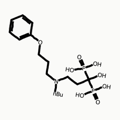 CCCCN(CCCOc1ccccc1)CCC(O)(P(=O)(O)O)P(=O)(O)O